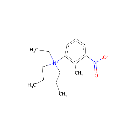 CCC[N+](CC)(CCC)c1cccc([N+](=O)[O-])c1C